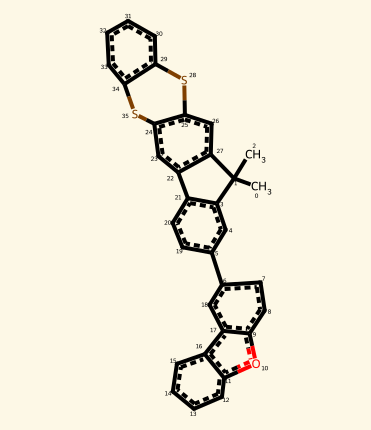 CC1(C)c2cc(-c3ccc4oc5ccccc5c4c3)ccc2-c2cc3c(cc21)Sc1ccccc1S3